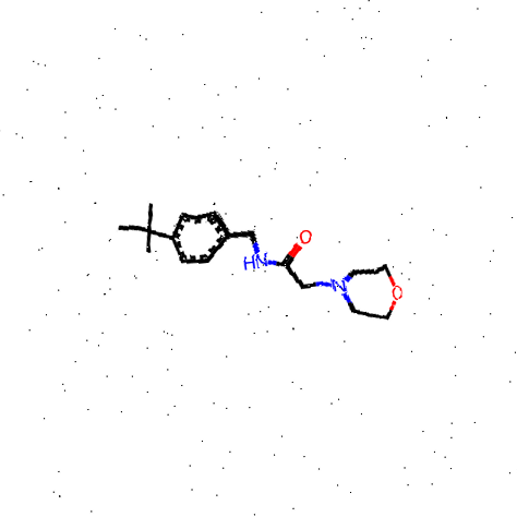 CC(C)(C)c1ccc(CNC(=O)CN2CCOCC2)cc1